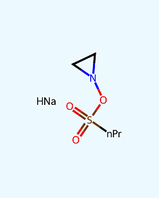 CCCS(=O)(=O)ON1CC1.[NaH]